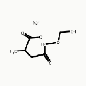 CC(CC(=O)POCO)C(=O)[O-].[Na+]